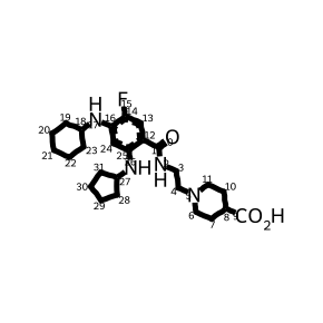 O=C(NCCN1CCC(C(=O)O)CC1)c1cc(F)c(NC2CCCCC2)cc1NC1CCCC1